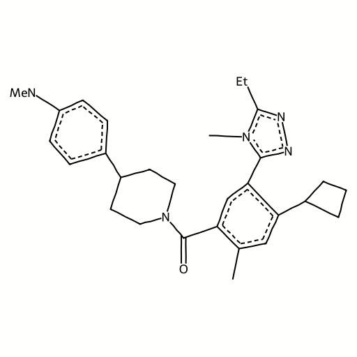 CCc1nnc(-c2cc(C(=O)N3CCC(c4ccc(NC)cc4)CC3)c(C)cc2C2CCC2)n1C